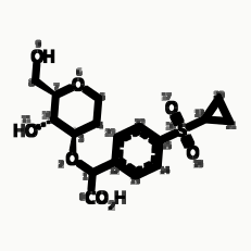 O=C(O)C(O[C@@H]1CCO[C@H](CO)[C@H]1O)c1ccc(S(=O)(=O)C2CC2)cc1